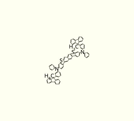 CC1(c2cccc(N(c3ccccc3)c3ccc4c(c3)sc3cc5cc6sc7cc(N(c8ccccc8)c8cccc(C9(C)c%10ccccc%10-c%10ccccc%109)c8)ccc7c6cc5cc34)c2)c2ccccc2-c2ccccc21